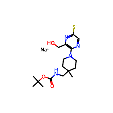 CC1(CNC(=O)OC(C)(C)C)CCN(c2ncc([S-])nc2CO)CC1.[Na+]